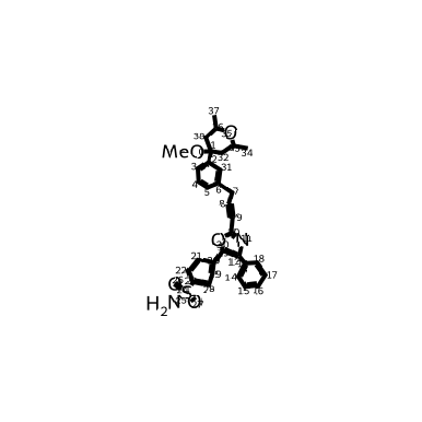 COC1(c2cccc(CC#Cc3nc(-c4ccccc4)c(-c4ccc(S(N)(=O)=O)cc4)o3)c2)CC(C)OC(C)C1